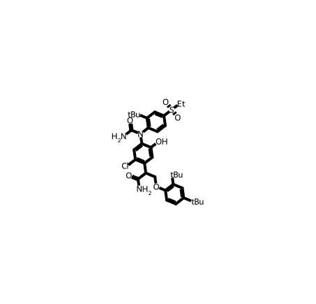 CCS(=O)(=O)c1ccc(N(C(N)=O)c2cc(Cl)c(C(COc3ccc(C(C)(C)C)cc3C(C)(C)C)C(N)=O)cc2O)c(C(C)(C)C)c1